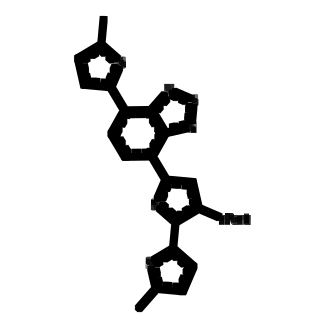 CCCCCc1cc(-c2ccc(-c3ccc(C)s3)c3nsnc23)sc1-c1ccc(C)s1